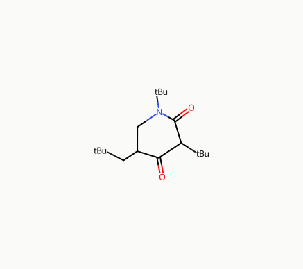 CC(C)(C)CC1CN(C(C)(C)C)C(=O)C(C(C)(C)C)C1=O